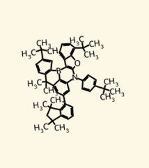 CC(C)(C)c1ccc(N2c3cc(-c4cccc5c4C(C)(C)CC5(C)C)cc4c3B(c3cc(C(C)(C)C)ccc3C4(C)C)c3c2oc2c(C(C)(C)C)cccc32)cc1